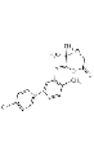 Cc1ccc(-c2ccc(Cl)cc2)cc1/C=C1\OC(=O)COC1(C)C